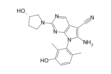 Cc1ccc(O)c(C)c1-n1c(N)c(C#N)c2cnc(N3CC[C@H](O)C3)nc21